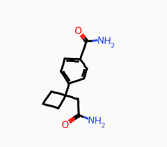 NC(=O)CC1(c2ccc(C(N)=O)cc2)CCC1